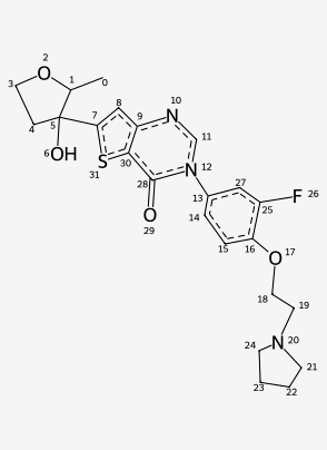 CC1OCCC1(O)c1cc2ncn(-c3ccc(OCCN4CCCC4)c(F)c3)c(=O)c2s1